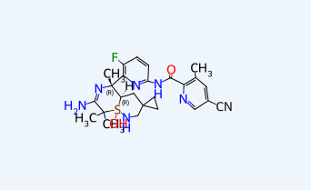 Cc1cc(C#N)cnc1C(=O)Nc1ccc(F)c([C@@]2(C)N=C(N)C(C)(C)S3(O)NCC4(CC4)C[C@H]23)n1